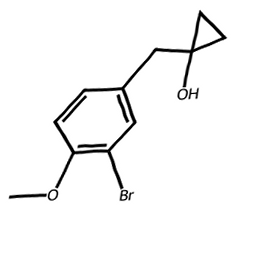 COc1ccc(CC2(O)CC2)cc1Br